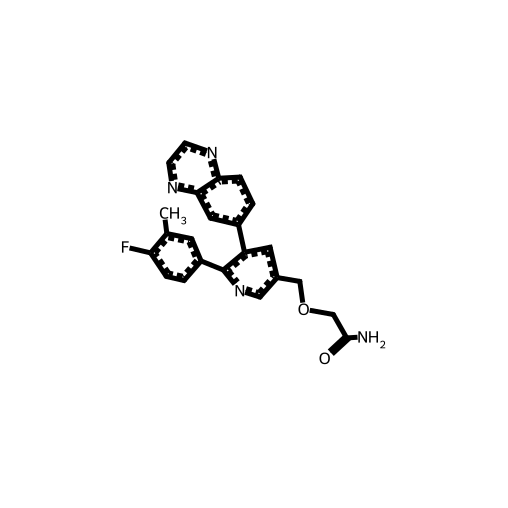 Cc1cc(-c2ncc(COCC(N)=O)cc2-c2ccc3nccnc3c2)ccc1F